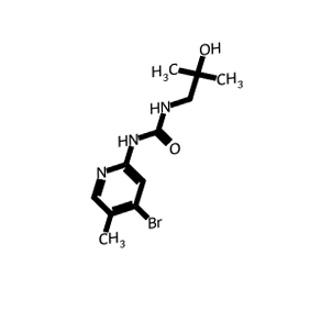 Cc1cnc(NC(=O)NCC(C)(C)O)cc1Br